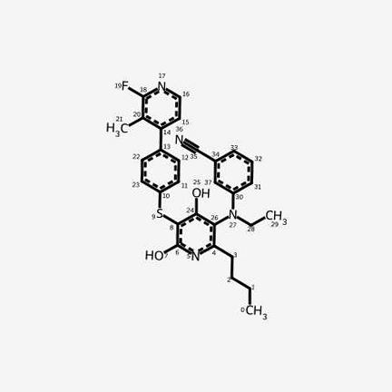 CCCCc1nc(O)c(Sc2ccc(-c3ccnc(F)c3C)cc2)c(O)c1N(CC)c1cccc(C#N)c1